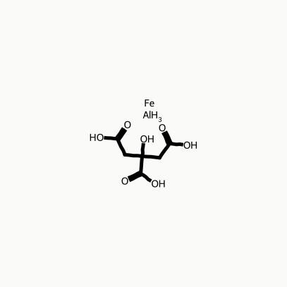 O=C(O)CC(O)(CC(=O)O)C(=O)O.[AlH3].[Fe]